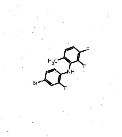 Cc1ccc(F)c(F)c1Nc1ccc(Br)cc1F